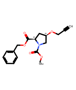 C#CCO[C@@H]1C[C@H](C(=O)OCc2ccccc2)N(C(=O)OC(C)(C)C)C1